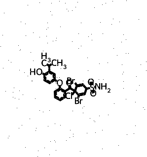 CC(C)c1cc(Oc2ccccc2C(=O)C2(Cl)C(Br)=CC(S(N)(=O)=O)C=C2Br)ccc1O